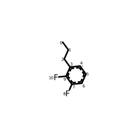 CCCc1[c]ccc(F)c1F